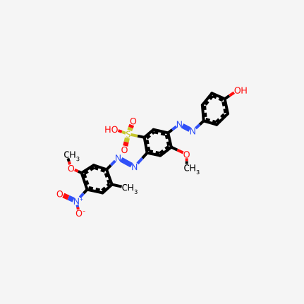 COc1cc(N=Nc2cc(OC)c([N+](=O)[O-])cc2C)c(S(=O)(=O)O)cc1N=Nc1ccc(O)cc1